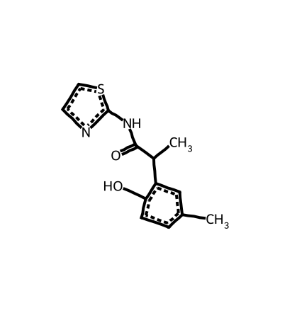 Cc1ccc(O)c(C(C)C(=O)Nc2nccs2)c1